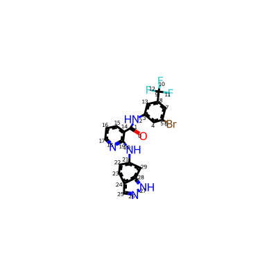 O=C(Nc1cc(Br)cc(C(F)(F)F)c1)c1cccnc1Nc1ccc2cn[nH]c2c1